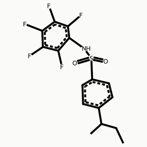 CCC(C)c1ccc(S(=O)(=O)Nc2c(F)c(F)c(F)c(F)c2F)cc1